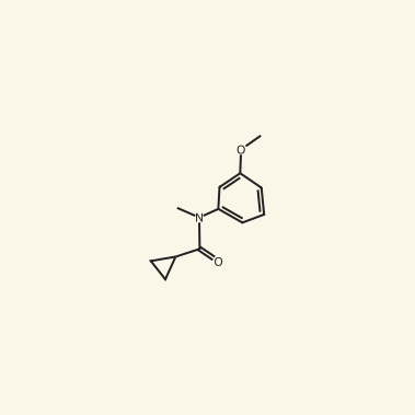 COc1cccc(N(C)C(=O)C2CC2)c1